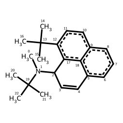 CN(C1C=Cc2cccc3ccc(C(C)(C)C)c1c23)C(C)(C)C